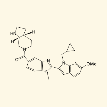 COc1ccc2cc(-c3nc4cc(C(=O)N5CC[C@H]6CCN[C@H]6C5)ccc4n3C)n(CC3CC3)c2n1